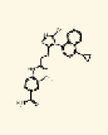 Cc1cc(C(N)=O)ccc1NC(=O)CSc1nnc(Br)n1-c1ccc(C2CC2)c2ccccc12